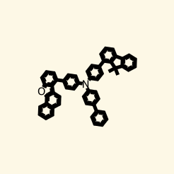 CC1(C)c2ccccc2-c2cccc(-c3ccc(N(c4ccc(-c5ccccc5)cc4)c4ccc(-c5cccc6oc7c8ccccc8ccc7c56)cc4)cc3)c21